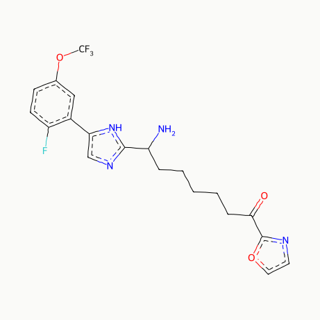 NC(CCCCCC(=O)c1ncco1)c1ncc(-c2cc(OC(F)(F)F)ccc2F)[nH]1